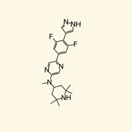 CN(c1cnc(-c2cc(F)c(-c3cn[nH]c3)c(F)c2)cn1)C1CC(C)(C)NC(C)(C)C1